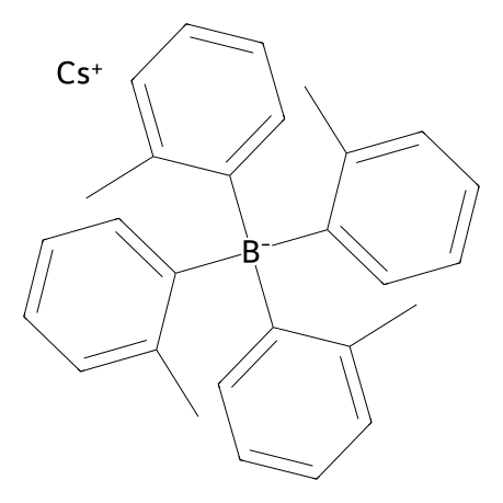 Cc1ccccc1[B-](c1ccccc1C)(c1ccccc1C)c1ccccc1C.[Cs+]